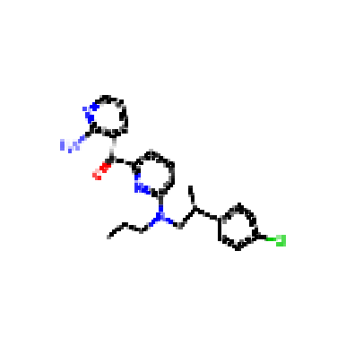 CCCN(CC(C)c1ccc(Cl)cc1)c1cccc(C(=O)c2cccnc2N)n1